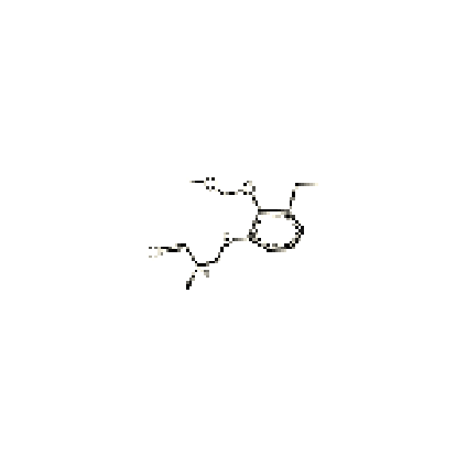 CCc1cccc(SC[C@@H](C)C=O)c1OCOC